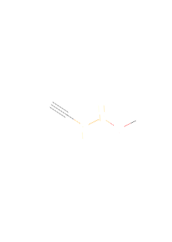 C#CPPOC